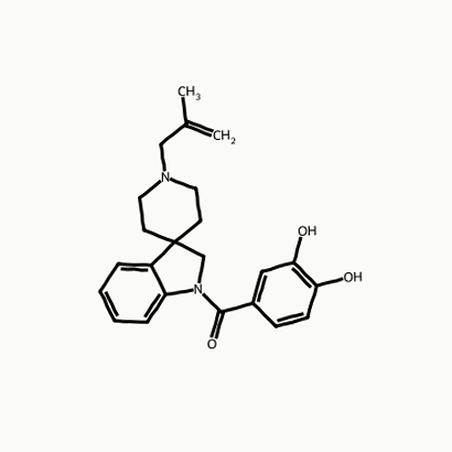 C=C(C)CN1CCC2(CC1)CN(C(=O)c1ccc(O)c(O)c1)c1ccccc12